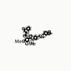 COc1cc(NC(=O)c2cc(=O)c3ccccc3o2)c(C(=O)Nc2ccc(CCN(C)Cc3ccc4c(c3)CCO4)cc2)cc1OC